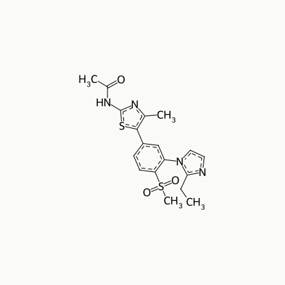 CCc1nccn1-c1cc(-c2sc(NC(C)=O)nc2C)ccc1S(C)(=O)=O